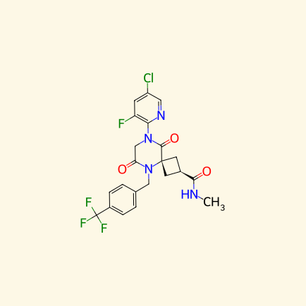 CNC(=O)[C@H]1C[C@]2(C1)C(=O)N(c1ncc(Cl)cc1F)CC(=O)N2Cc1ccc(C(F)(F)F)cc1